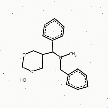 CN(Cc1ccccc1)C(c1ccccc1)C1COCOC1.Cl